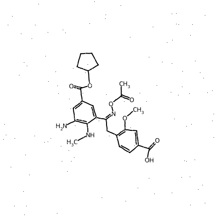 CNc1c(N)cc(C(=O)OC2CCCC2)cc1C(Cc1ccc(C(=O)O)cc1OC)=NOC(C)=O